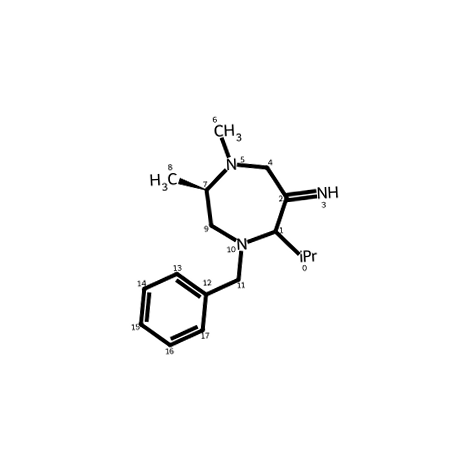 CC(C)C1C(=N)CN(C)[C@H](C)CN1Cc1ccccc1